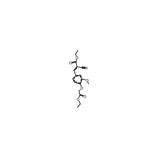 CCOC(=O)COc1ccc(/C=C(\C#N)C(=O)OCC)cc1OC